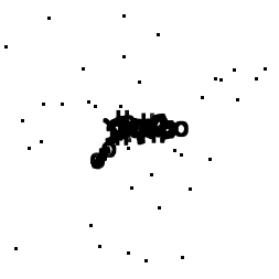 COCCOCCN1C[C@@H](C)C[C@H]2O[C@]3(CC[C@@H]4C(=C(C)C3)C[C@@H]3C5C(=CC(=O)C[C@H]5C)CC[C@@H]43)[C@H](C)[C@@H]21